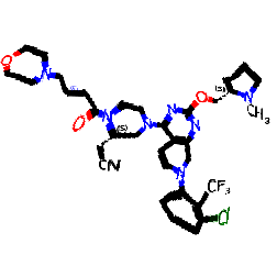 CN1CCC[C@H]1COc1nc2c(c(N3CCN(C(=O)/C=C/CN4CCOCC4)[C@@H](CC#N)C3)n1)CCN(c1cccc(Cl)c1C(F)(F)F)C2